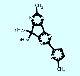 CCCCCCC1(CCCCCC)c2nc(C)sc2-c2sc(-c3ccc(C)s3)nc21